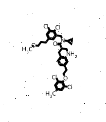 COCCCc1cc(Cl)c(Cl)c(CN(C(=O)C(CN)Cc2ccc(CCOc3c(Cl)cc(C)cc3Cl)cc2)C2CC2)c1